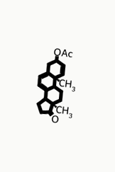 CC(=O)OC1C=C[C@@]2(C)C(=CC=C3C2CC[C@]2(C)C(=O)CCC32)C1